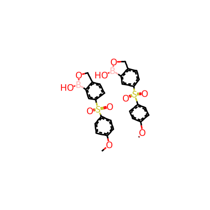 COc1ccc(S(=O)(=O)c2ccc3c(c2)B(O)OC3)cc1.COc1ccc(S(=O)(=O)c2ccc3c(c2)B(O)OC3)cc1